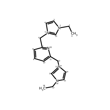 CCn1cc[n+](Cc2cccc(C[n+]3ccn(CC)c3)n2)c1